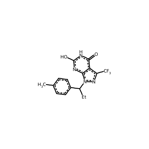 CCC(c1ccc(C)cc1)n1nc(C(F)(F)F)c2c(=O)[nH]c(O)nc21